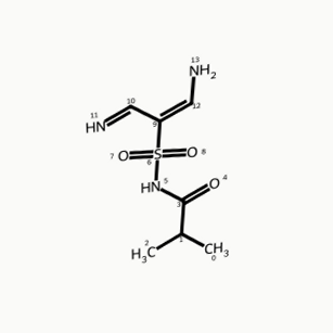 CC(C)C(=O)NS(=O)(=O)/C(C=N)=C/N